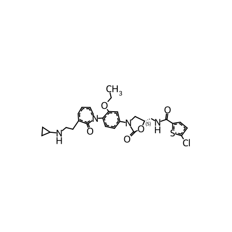 CCOc1cc(N2C[C@H](CNC(=O)c3ccc(Cl)s3)OC2=O)ccc1-n1cccc(CCNC2CC2)c1=O